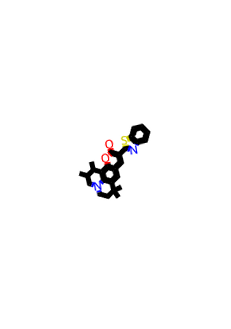 CC1CN2CCC(C)(C)c3cc4cc(-c5nc6ccccc6s5)c(=O)oc4c(c32)C1C